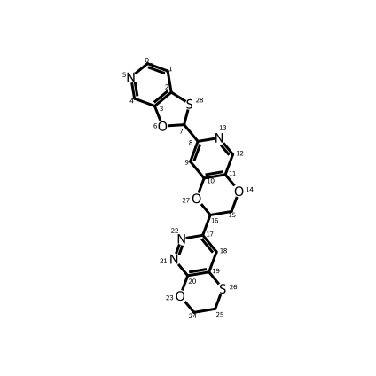 [c]1cc2c(cn1)OC(c1cc3c(cn1)OCC(c1cc4c(nn1)OCCS4)O3)S2